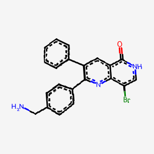 NCc1ccc(-c2nc3c(Br)c[nH]c(=O)c3cc2-c2ccccc2)cc1